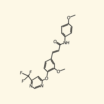 COc1ccc(NC(=O)C=Cc2ccc(Oc3cc(C(F)(F)F)ncn3)c(OC)c2)cc1